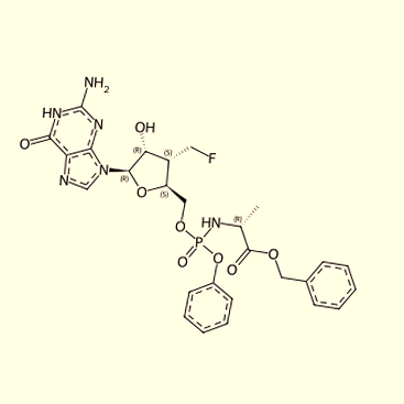 C[C@@H](NP(=O)(OC[C@H]1O[C@@H](n2cnc3c(=O)[nH]c(N)nc32)[C@H](O)[C@@H]1CF)Oc1ccccc1)C(=O)OCc1ccccc1